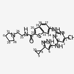 Cc1cc(Nc2cc(C3CC3)n[nH]2)nc(Nc2ccc3cc(C(=O)NCCN4CCCC4)sc3c2)n1